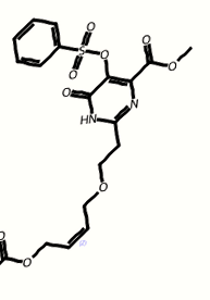 COC(=O)c1nc(CCOC/C=C\COC(C)=O)[nH]c(=O)c1OS(=O)(=O)c1ccccc1